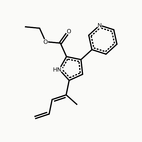 C=C/C=C(\C)c1cc(-c2cccnc2)c(C(=O)OCC)[nH]1